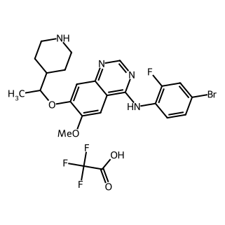 COc1cc2c(Nc3ccc(Br)cc3F)ncnc2cc1OC(C)C1CCNCC1.O=C(O)C(F)(F)F